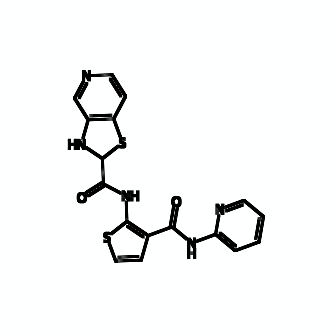 O=C(Nc1ccccn1)c1ccsc1NC(=O)C1Nc2cnccc2S1